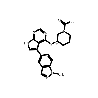 CCC(=O)N1CCC[C@@H](Nc2ncnc3[nH]cc(-c4ccc5c(cnn5C)c4)c23)C1